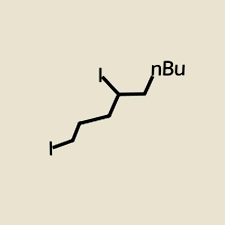 CCCCCC(I)CCCI